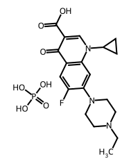 CCN1CCN(c2cc3c(cc2F)c(=O)c(C(=O)O)cn3C2CC2)CC1.O=P(O)(O)O